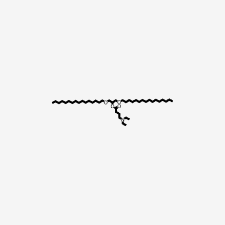 CCCCCCCCCCCCCCCCOCC(COCCCCCCCCCCCCCCCC)OC(=O)CCCN(CC)CC